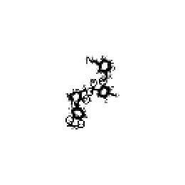 Cc1ccc(C(=O)OCc2cccn(-c3ccc4c(c3)OCCO4)c2=O)c(OCc2cccc(C#N)c2)c1